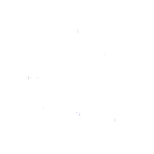 Bc1nc(Cl)c2c(B)c(B)c(B)c(B)c2c1B